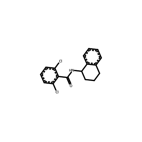 O=C(NC1CCCc2ccccc21)c1c(Cl)cccc1Cl